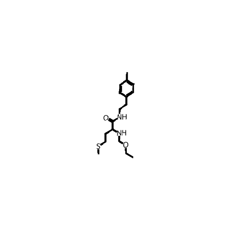 CCOCNC(CCSC)C(=O)NCCc1ccc(C)cc1